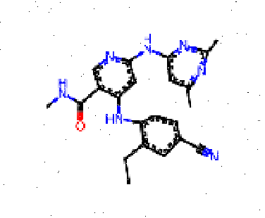 CCc1cc(C#N)ccc1Nc1cc(Nc2cc(C)nc(C)n2)ncc1C(=O)NC